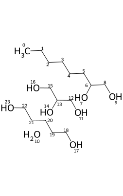 CCCCCCC(O)CO.O.OCC(O)CO.OCCCCCO